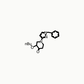 CCCCOC1CN(c2ccn(Cc3ccccc3)n2)CCC1=O